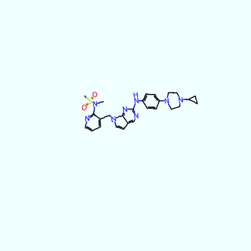 CN(c1ncccc1Cn1ccc2cnc(Nc3ccc(N4CCN(C5CC5)CC4)cc3)nc21)S(C)(=O)=O